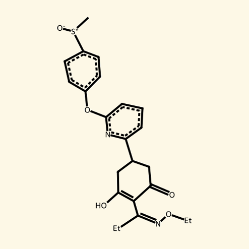 CCO/N=C(/CC)C1=C(O)CC(c2cccc(Oc3ccc([S+](C)[O-])cc3)n2)CC1=O